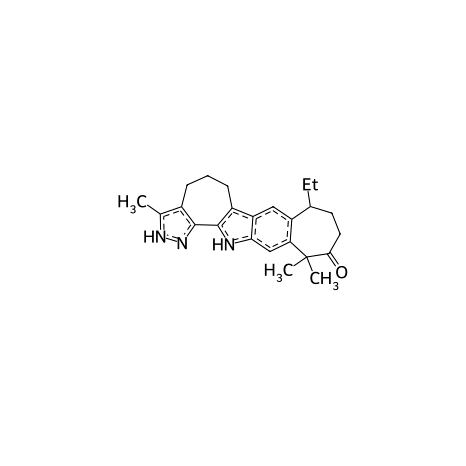 CCC1CCC(=O)C(C)(C)c2cc3[nH]c4c(c3cc21)CCCc1c-4n[nH]c1C